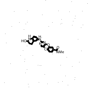 CNC(=O)c1cccc(Oc2nc(Nc3ccc4c(c3)CCC(O)N4)ncc2C(F)(F)F)c1